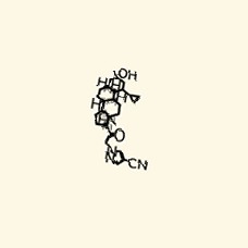 C[C@@]1(O)CC(C2CC2)[C@H]2[C@H](CC[C@@H]3[C@@H]2CC[C@]2(C)[C@@H](C(=O)Cn4cc(C#N)cn4)CC[C@@H]32)C1